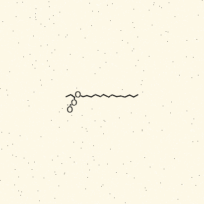 CCCCCCCCCCCCCCOC(CC)O[C]=O